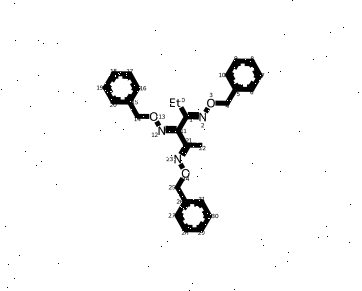 CCC(=N\OCc1ccccc1)/C(=N\OCc1ccccc1)C(/C)=N/OCc1ccccc1